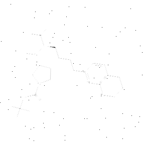 CN([C@@H]1CCN(C(=O)OC(C)(C)C)C1)[C@H](CCCCc1ccc2c(n1)NCCC2)C(F)F